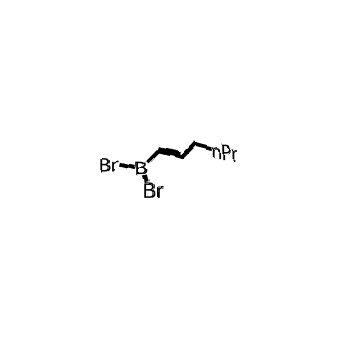 CCCC/C=C/B(Br)Br